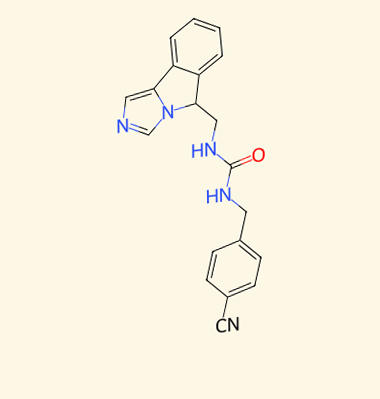 N#Cc1ccc(CNC(=O)NCC2c3ccccc3-c3cncn32)cc1